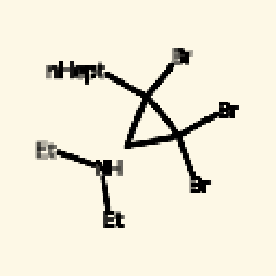 CCCCCCCC1(Br)CC1(Br)Br.CCNCC